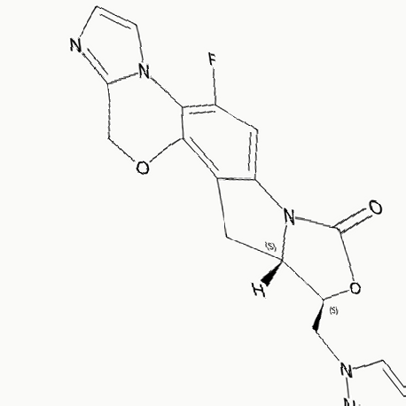 O=C1O[C@@H](Cn2ccnn2)[C@@H]2Cc3c(cc(F)c4c3OCc3nccn3-4)N12